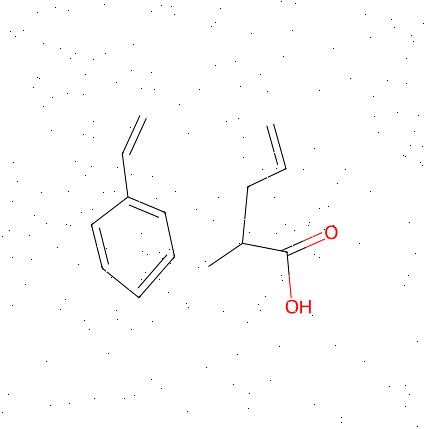 C=CCC(C)C(=O)O.C=Cc1ccccc1